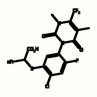 CCCC(Sc1cc(-n2c(=O)c(C)c(C(F)(F)F)n(C)c2=O)c(F)cc1Cl)C(=O)O